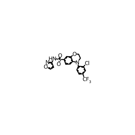 O=S(=O)(Nc1ccon1)c1ccc2c(c1)OCCN2c1ccc(C(F)(F)F)cc1Cl